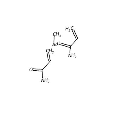 C=CC(N)=O.C=CC(N)=O.CC(C)=O